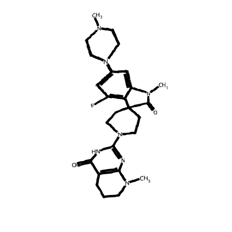 CN1CCN(c2cc(F)c3c(c2)N(C)C(=O)C32CCN(c3nc4c(c(=O)[nH]3)CCCN4C)CC2)CC1